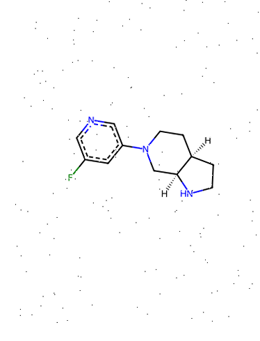 Fc1cncc(N2CC[C@H]3CCN[C@H]3C2)c1